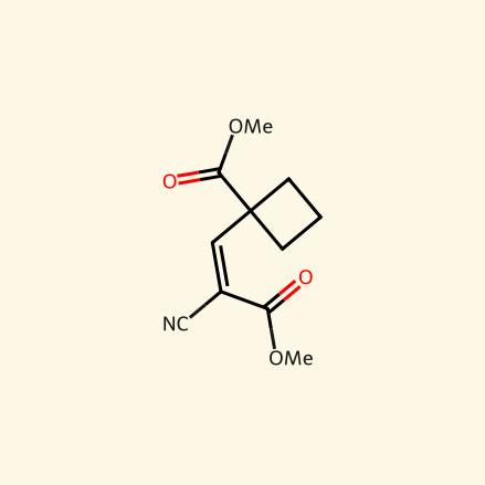 COC(=O)C(C#N)=CC1(C(=O)OC)CCC1